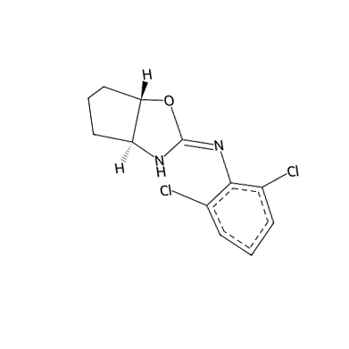 Clc1cccc(Cl)c1N=C1N[C@H]2CCC[C@@H]2O1